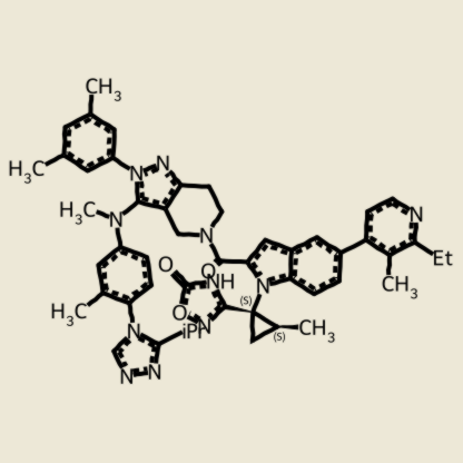 CCc1nccc(-c2ccc3c(c2)cc(C(=O)N2CCc4nn(-c5cc(C)cc(C)c5)c(N(C)c5ccc(-n6cnnc6C(C)C)c(C)c5)c4C2)n3[C@@]2(c3noc(=O)[nH]3)C[C@@H]2C)c1C